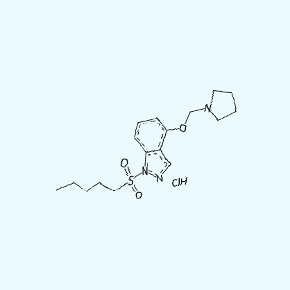 CCCCCS(=O)(=O)n1ncc2c(OCN3CCCC3)cccc21.Cl